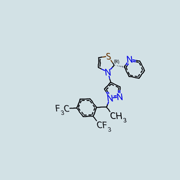 CC(c1ccc(C(F)(F)F)cc1C(F)(F)F)n1cc(N2C=CS[C@@H]2c2ccccn2)cn1